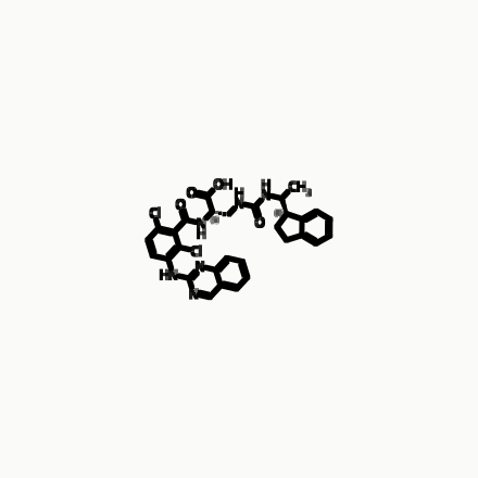 CC(NC(=O)NC[C@H](NC(=O)c1c(Cl)ccc(Nc2ncc3ccccc3n2)c1Cl)C(=O)O)[C@@H]1CCc2ccccc21